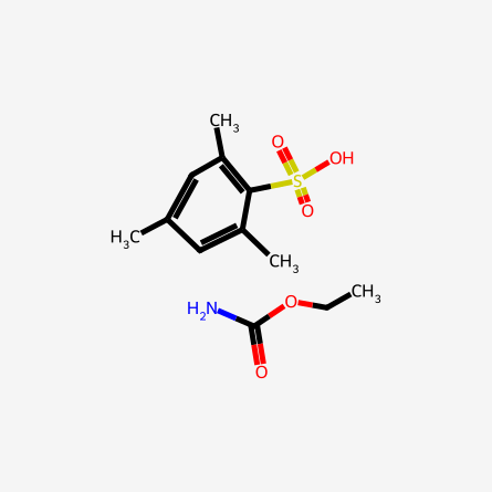 CCOC(N)=O.Cc1cc(C)c(S(=O)(=O)O)c(C)c1